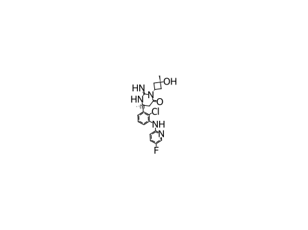 C[C@@]1(c2cccc(Nc3ccc(F)cn3)c2Cl)CC(=O)N([C@H]2C[C@@](C)(O)C2)C(=N)N1